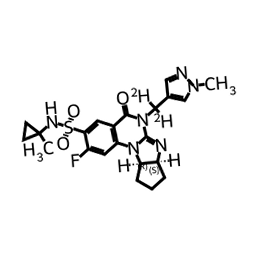 [2H]C([2H])(c1cnn(C)c1)N1C(=O)c2cc(S(=O)(=O)NC3(C)CC3)c(F)cc2N2C1=N[C@H]1CCC[C@H]12